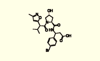 Cc1cc(C(C(=O)N2C[C@H](O)C[C@H]2C(=O)NC(CC(=O)O)c2ccc(Br)cc2)C(C)C)on1